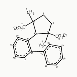 CCOC(=O)C1(C)CCC(C)(C(=O)OCC)C1c1ccccc1-c1ccccc1